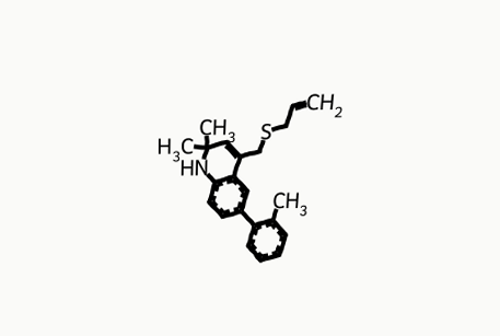 C=CCSCC1=CC(C)(C)Nc2ccc(-c3ccccc3C)cc21